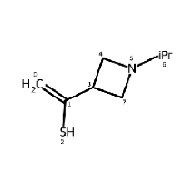 C=C(S)C1CN(C(C)C)C1